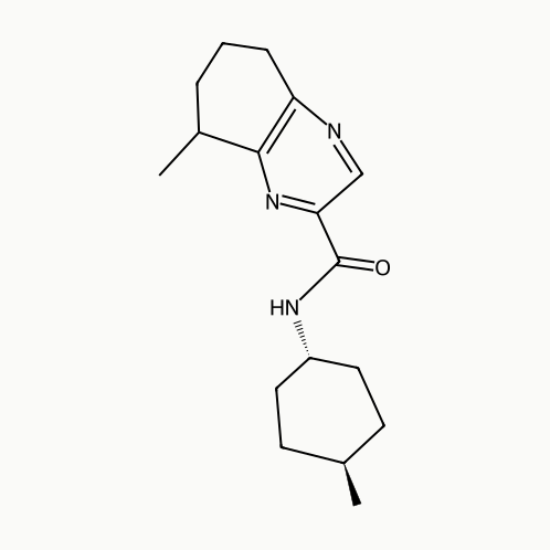 CC1CCCc2ncc(C(=O)N[C@H]3CC[C@H](C)CC3)nc21